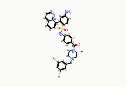 C[C@@H]1CN(Cc2cc(F)cc(F)c2)CCN1C(=O)c1ccc(NS(=O)(=O)c2ccc(N)cc2-c2cccc3cccnc23)cc1